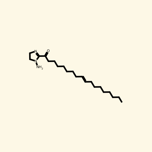 CCCCCCCCC=CCCCCCCCC(=O)C1=NCCN1N